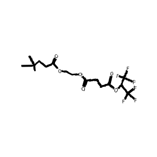 CC(C)(C)CCC(=O)OCCOC(=O)CCC(=O)OC(C(F)(F)F)C(F)(F)F